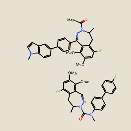 CNC(=O)N1N=C(c2ccc(-c3ccc4c(ccn4C)c3)cc2)c2c(c(F)cc(OC)c2OC)CC1C.COc1cc(F)c2c(c1OC)C=NN(C(=O)N(C)c1ccc(-c3ccc(F)cc3)cc1)C(C)C2